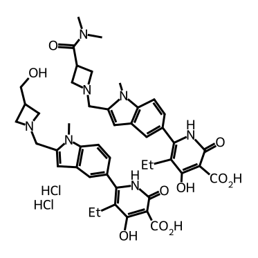 CCc1c(-c2ccc3c(c2)cc(CN2CC(C(=O)N(C)C)C2)n3C)[nH]c(=O)c(C(=O)O)c1O.CCc1c(-c2ccc3c(c2)cc(CN2CC(CO)C2)n3C)[nH]c(=O)c(C(=O)O)c1O.Cl.Cl